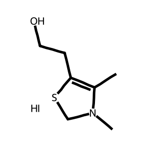 CC1=C(CCO)SCN1C.I